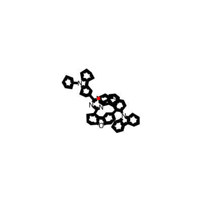 c1ccc(-c2nc(-c3ccc4c(c3)c3ccccc3n4-c3ccccc3)nc(-c3cccc4oc5ccc(-c6c(-n7c8ccccc8c8ccccc87)ccc7sc8ccccc8c67)cc5c34)n2)cc1